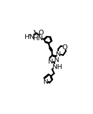 CN[C@@H](C)C(=O)Nc1cccc(C#Cc2cnc(NCCc3ccncc3)nc2N2CCOCC2)c1